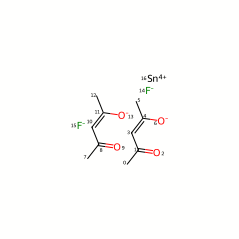 CC(=O)/C=C(/C)[O-].CC(=O)/C=C(/C)[O-].[F-].[F-].[Sn+4]